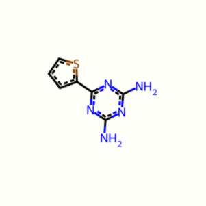 Nc1nc(N)nc(-c2cccs2)n1